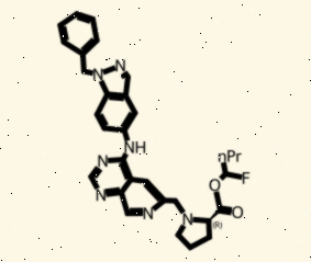 CCCC(F)OC(=O)[C@H]1CCCN1Cc1cc2c(Nc3ccc4c(cnn4Cc4ccccc4)c3)ncnc2cn1